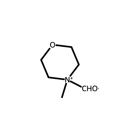 C[N+]1([C]=O)CCOCC1